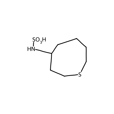 O=S(=O)(O)NC1CCCCSCC1